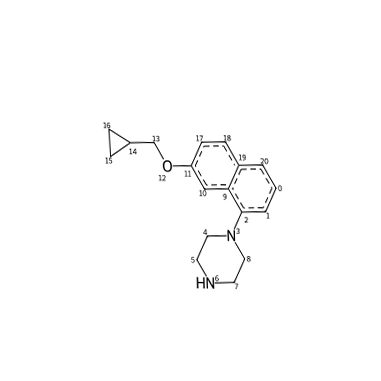 c1cc(N2CCNCC2)c2cc(OCC3CC3)ccc2c1